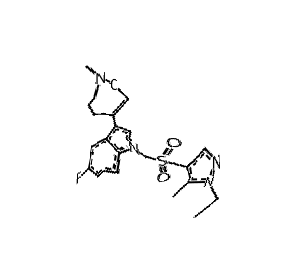 CCn1ncc(S(=O)(=O)n2cc(C3=CCN(C)CC3)c3cc(F)ccc32)c1C